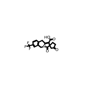 O=C1CCC2(C1)C(=O)N1Cc3cc(C(F)(F)F)ccc3CC1=C2C(=O)O